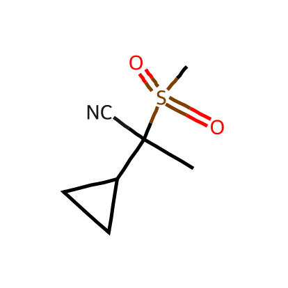 CC(C#N)(C1CC1)S(C)(=O)=O